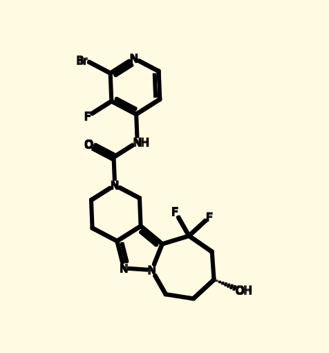 O=C(Nc1ccnc(Br)c1F)N1CCc2nn3c(c2C1)C(F)(F)C[C@H](O)CC3